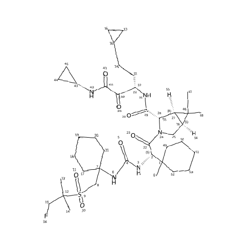 CC1([C@H](NC(=O)NC2(CS(=O)(=O)C(C)(C)CF)CCCCC2)C(=O)N2C[C@H]3[C@@H]([C@H]2C(=O)N[C@@H](CCC2CC2)C(=O)C(=O)NC2CC2)C3(C)C)CCCCC1